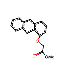 COC(=O)COc1cccc2cc3ccccc3cc12